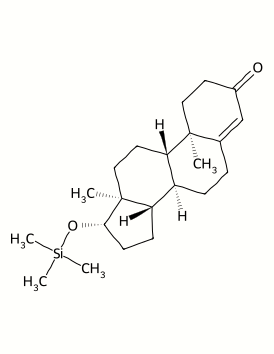 C[C@]12CC[C@H]3[C@@H](CCC4=CC(=O)CC[C@@]43C)[C@@H]1CC[C@@H]2O[Si](C)(C)C